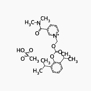 CC(C)c1cccc(C(C)C)c1OC(=O)OC[n+]1cccc(C(=O)N(C)C)c1.CS(=O)(=O)O